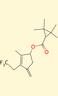 C=C1CC(OC(=O)C2C(C)(C)C2(C)C)C(C)=C1CC(F)(F)F